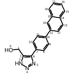 OCc1[nH]nnc1-c1ccc(-c2ccc3ccccc3c2)cc1